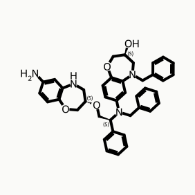 Nc1ccc2c(c1)NC[C@H](OC[C@H](c1ccccc1)N(Cc1ccccc1)c1ccc3c(c1)N(Cc1ccccc1)C[C@H](O)CO3)CO2